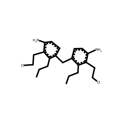 CCCc1c(Cc2ccc(N)c(CCCl)c2CCC)ccc(N)c1CCCl